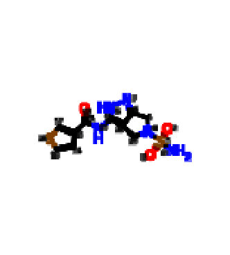 NS(=O)(=O)N1Cc2n[nH]c(NC(=O)c3ccsc3)c2C1